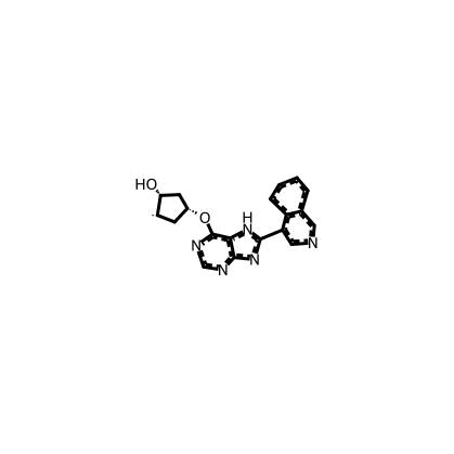 O[C@H]1[CH]C[C@@H](Oc2ncnc3nc(-c4cncc5ccccc45)[nH]c23)C1